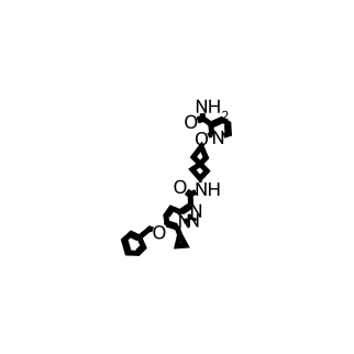 NC(=O)c1cccnc1O[C@H]1CC2(C[C@H](NC(=O)c3nnn4c(C5CC5)c(OCc5ccccc5)ccc34)C2)C1